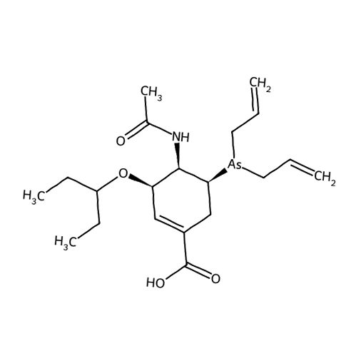 C=CC[As](CC=C)[C@H]1CC(C(=O)O)=C[C@@H](OC(CC)CC)[C@H]1NC(C)=O